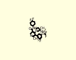 Cc1ncc(C(=O)NC2CCC(F)(F)CC2)c(N2CCC(C)(N)C2)c1-c1cc(F)cc(OC(F)F)c1